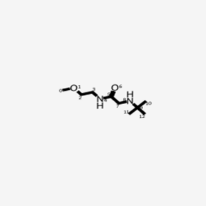 COCCNC(=O)CNC(C)(C)C